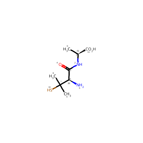 C[C@H](NC(=O)[C@@H](N)C(C)(C)S)C(=O)O